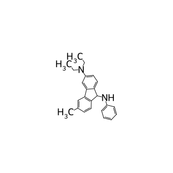 CCN(CC)c1ccc2c(c1)-c1cc(C)ccc1C2Nc1ccccc1